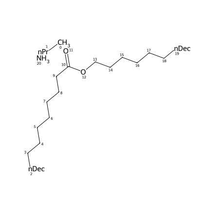 CCCC.CCCCCCCCCCCCCCCCCC(=O)OCCCCCCCCCCCCCCCC.N